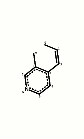 C/C=C\c1ccncc1C